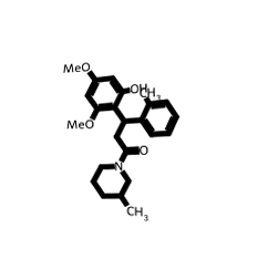 COc1cc(O)c(C(CC(=O)N2CCCC(C)C2)c2ccccc2C)c(OC)c1